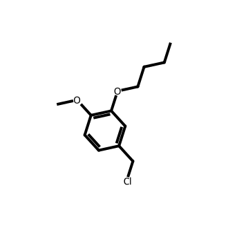 CCCCOc1cc(CCl)ccc1OC